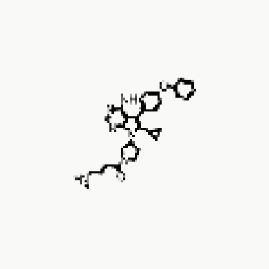 CN(C)CC=CC(=O)N1CC[C@@H](n2c(C3CC3)c(-c3ccc(Oc4ccccc4)cc3)c3c(N)ncnc32)C1